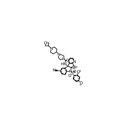 COc1ccc(S(=O)(=O)N2C(=O)[C@@](NC(=O)N3CCN(C4CCN(C5COC5)CC4)CC3)(c3cccnc3OC)c3cc(C#N)ccc32)c(OC)c1